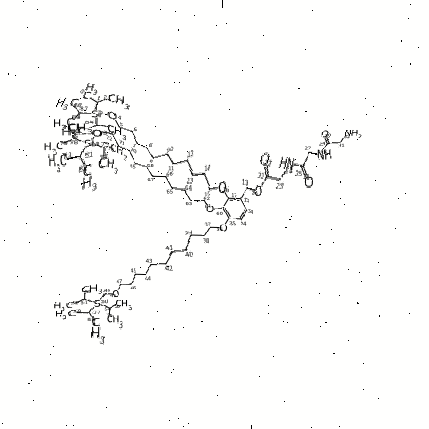 CC(C)[Si](OCCCCCCCCCCCOc1c(COC(=O)CNC(=O)CNC(=O)CN)ccc(OCCCCCCCCCCCOCS(C(C)C)(C(C)C)C(C)C)c1OCCCCCCCCCCCO[Si](C(C)C)(C(C)C)C(C)C)(C(C)C)C(C)C